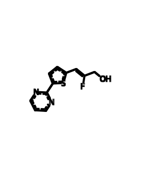 OCC(F)=Cc1ccc(-c2ncccn2)s1